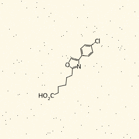 O=C(O)CCCCCc1nc(-c2ccc(Cl)cc2)co1